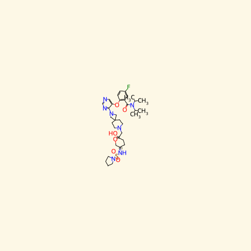 CC(C)N(C(=O)c1cc(F)ccc1Oc1cncnc1N1CC2(CCN(C[C@@]3(O)CC[C@@H](NS(=O)(=O)N4CCCC4)CO3)CC2)C1)C(C)C